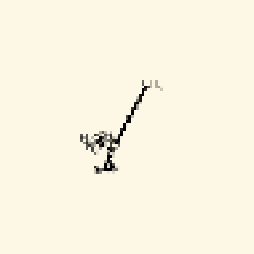 CCCCCCCCCCCCCCCCCCOC[C@H](CO[Si](C)(C)C(C)(C)C)OCc1cc(F)cc(Br)c1